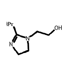 CC(C)C1=NCCN1CCO